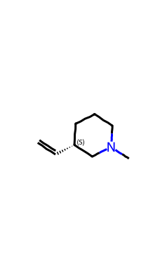 C=C[C@@H]1CCCN(C)C1